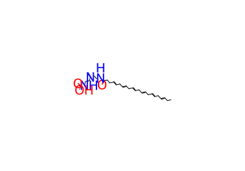 CCC=CCC=CCC=CCC=CCC=CCC=CCCC(=O)NCCN(C)CCNC(=O)O